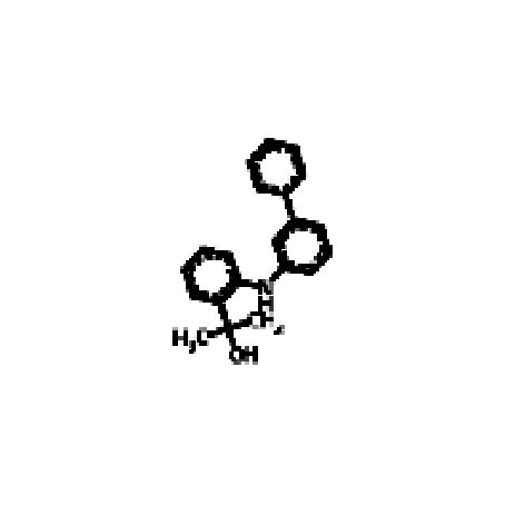 CC(C)(O)c1ccccc1Nc1cccc(-c2ccccc2)c1